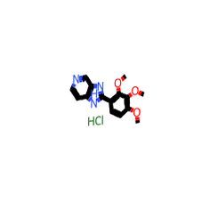 COc1ccc(-c2nc3cnccc3[nH]2)c(OC)c1OC.Cl